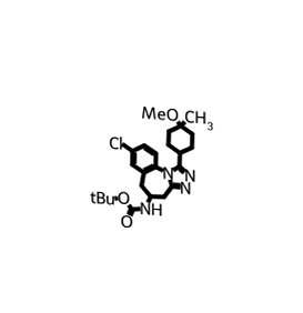 COC1(C)CCC(c2nnc3n2-c2ccc(Cl)cc2CC(NC(=O)OC(C)(C)C)C3)CC1